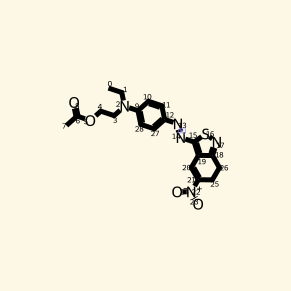 CCN(CCOC(C)=O)c1ccc(/N=N/c2snc3c2C=C([N+](=O)[O-])CC3)cc1